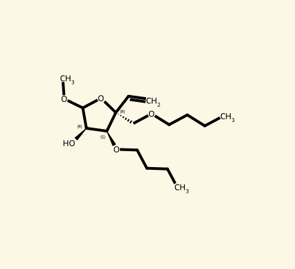 C=C[C@]1(COCCCC)OC(OC)[C@H](O)[C@@H]1OCCCC